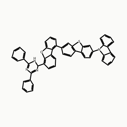 c1ccc(C2=NC(c3cccc4c3oc3cccc(-c5ccc6c(c5)sc5cc(-n7c8ccccc8c8ccccc87)ccc56)c34)NC(c3ccccc3)=N2)cc1